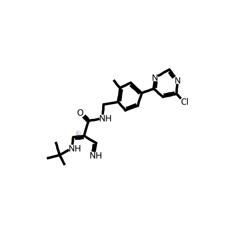 Cc1cc(-c2cc(Cl)ncn2)ccc1CNC(=O)/C(C=N)=C/NC(C)(C)C